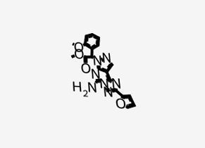 COC(=O)C(c1ccccc1OC)n1ncc2c1nc(N)n1nc(-c3ccco3)nc21